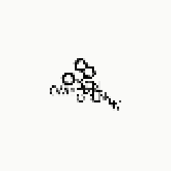 COc1ccccc1[C@H](c1cccc2ccccc12)[C@@](C)(C#N)C(=O)N1CCN(CCN(C)C)CC1